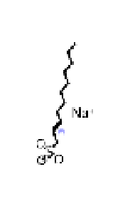 CCCCCCCC/C=C/CS(=O)(=O)[O-].[Na+]